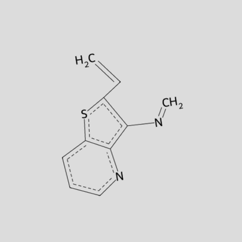 C=Cc1sc2cccnc2c1N=C